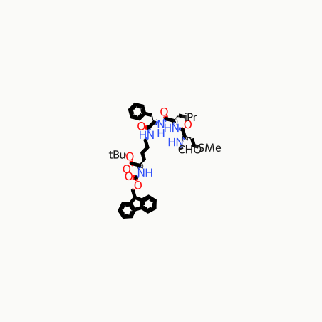 CSCC[C@H](NC=O)C(=O)N[C@@H](CC(C)C)C(=O)N[C@@H](Cc1ccccc1)C(=O)NCCCC[C@@H](NC(=O)OCC1c2ccccc2-c2ccccc21)C(=O)OC(C)(C)C